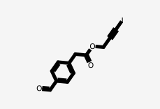 O=Cc1ccc(CC(=O)OCC#CI)cc1